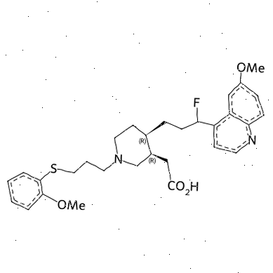 COc1ccc2nccc(C(F)CC[C@@H]3CCN(CCCSc4ccccc4OC)C[C@@H]3CC(=O)O)c2c1